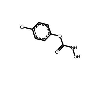 O=C(NO)Oc1ccc(Cl)cc1